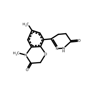 Cc1cc(C2=NNC(=O)CC2)c2c(c1)N(C)C(=O)CO2